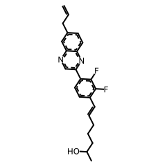 C=CCc1ccc2nc(-c3ccc(/C=C/CCCC(C)O)c(F)c3F)cnc2c1